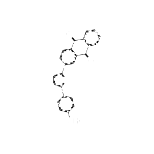 O=Cc1ccc(-c2ccc(-c3ccc4c(c3)C(=O)c3ccccc3C4=O)s2)cc1